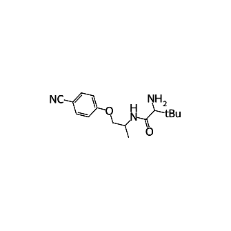 CC(COc1ccc(C#N)cc1)NC(=O)C(N)C(C)(C)C